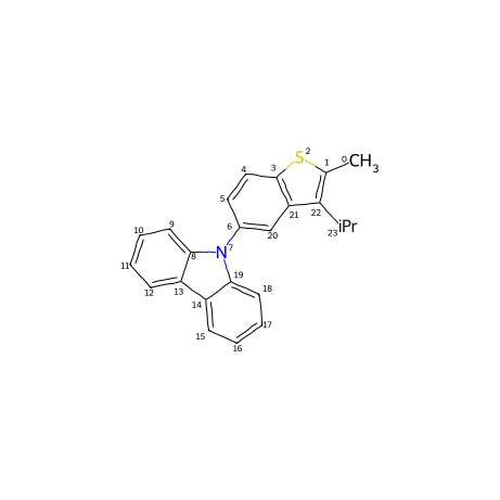 Cc1sc2ccc(-n3c4ccccc4c4ccccc43)cc2c1C(C)C